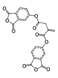 C=C(CC(=O)Oc1ccc2c(c1)C(=O)OC2=O)C(=O)Oc1ccc2c(c1)C(=O)OC2=O